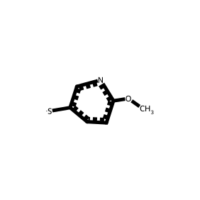 COc1ccc([S])cn1